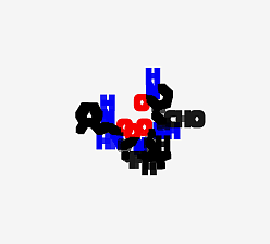 Cc1cccc2[nH]c(C(=O)N[C@@H](CC(C)C)C(=O)N3C[C@H]4[C@@H]([C@H]3C(=O)N[C@H](C=O)C[C@@H]3CCCNC3=O)C4(C)C)cc12